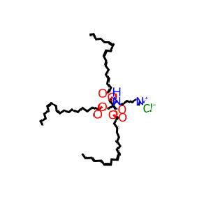 CCCCC/C=C\C/C=C\CCCCCCCC(=O)OCC(COC(=O)CCCCCCC/C=C\C/C=C\CCCCC)(COC(=O)CCCCCCC/C=C\C/C=C\CCCCC)NC(=O)CCC[N+](C)(C)C.[Cl-]